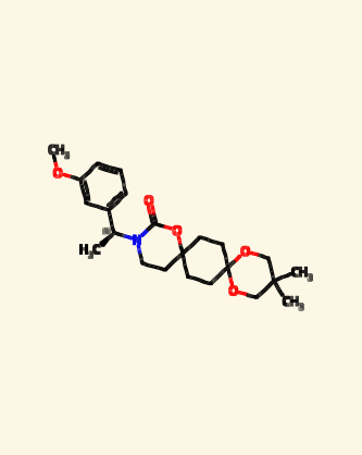 COc1cccc([C@H](C)N2CCC3(CCC4(CC3)OCC(C)(C)CO4)OC2=O)c1